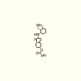 CCCC(=O)Oc1ccc2nc(Nc3ccccc3CN)sc2c1